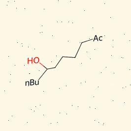 CCCCC(O)CCCCC(C)=O